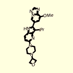 COc1cc(-c2[nH]c3ccc(N4CCN(C5COC5)CC4)nc3c2C(C)C)cn2ncnc12